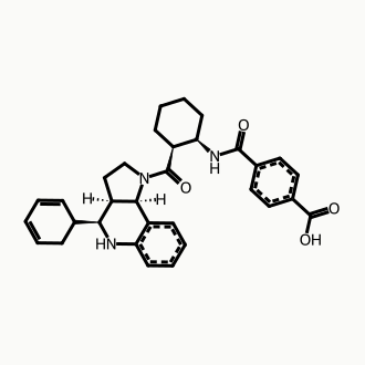 O=C(O)c1ccc(C(=O)N[C@@H]2CCCC[C@@H]2C(=O)N2CC[C@@H]3[C@H](C4C=CC=CC4)Nc4ccccc4[C@@H]32)cc1